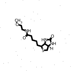 COCCNC(=O)CCCCC1SC[C@@H]2NC(=O)NC12